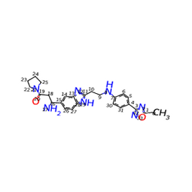 Cc1nc(-c2ccc(NCCc3nc4cc(C(N)CC(=O)N5CCCC5)ccc4[nH]3)cc2)no1